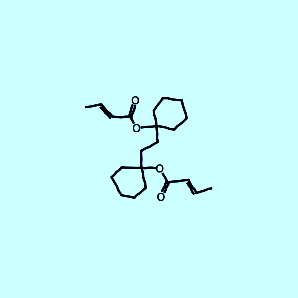 C/C=C/C(=O)OC1(CCC2(OC(=O)/C=C/C)CCCCC2)CCCCC1